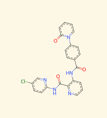 O=C(Nc1cccnc1C(=O)Nc1ccc(Cl)cn1)c1ccc(-n2ccccc2=O)cc1